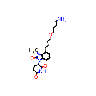 Cn1c(=O)n(C2CCC(=O)NC2=O)c2cccc(CCCCOCCCCN)c21